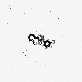 O=CN1CCCCC1c1nnn(-c2cccc(Cl)c2)n1